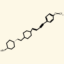 CCC[C@H]1CC[C@H](CCC2CCC(/C=C/C#Cc3ccc(OC(F)(F)F)cc3)CC2)CC1